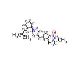 CCN(CC)C(=O)c1ccc(C=C2CCN(c3ccccc3CC=C(C)C)CC2)cc1